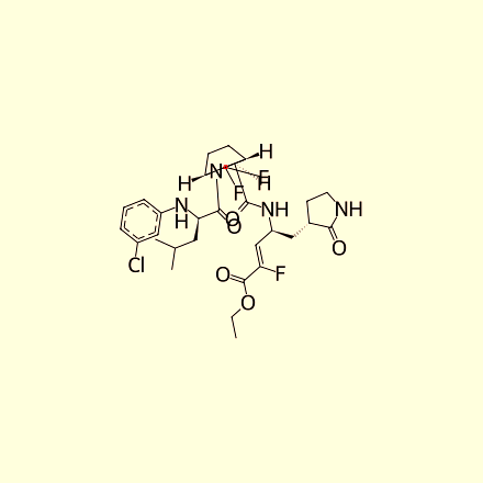 CCOC(=O)/C(F)=C/[C@H](C[C@@H]1CCNC1=O)NC(=O)[C@@H]1[C@H]2CC[C@H](CC2(F)F)N1C(=O)[C@@H](CC(C)C)Nc1cccc(Cl)c1